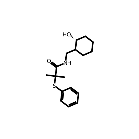 CC(C)(Sc1ccccc1)C(=O)NCC1CCCC[C@H]1O